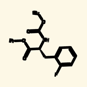 CC(C)OC(=O)[C@@H](Cc1ccccc1F)NC(=O)OC(C)(C)C